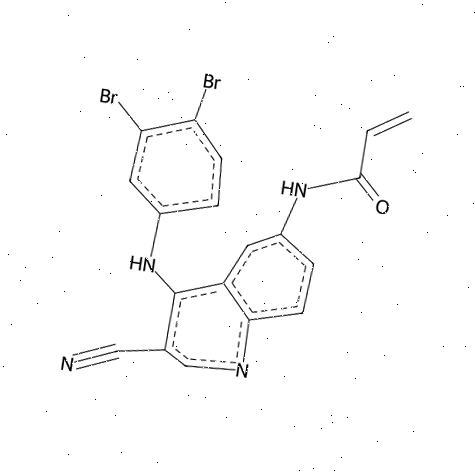 C=CC(=O)Nc1ccc2ncc(C#N)c(Nc3ccc(Br)c(Br)c3)c2c1